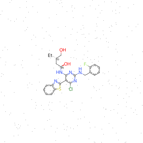 CC[C@H](CO)C[C@@H](O)Nc1nc(NCc2ccccc2F)nc(Cl)c1-c1nc2ccccc2s1